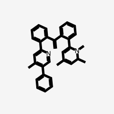 C=C(c1ccccc1C1=CC(C)=CC(C)N1C)c1ccccc1-c1cc(C)c(-c2ccccc2)cn1